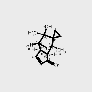 C[C@]1(O)[C@@H]2O[C@@](C)([C@H]3C(=O)C=C[C@@H]23)C12CC2